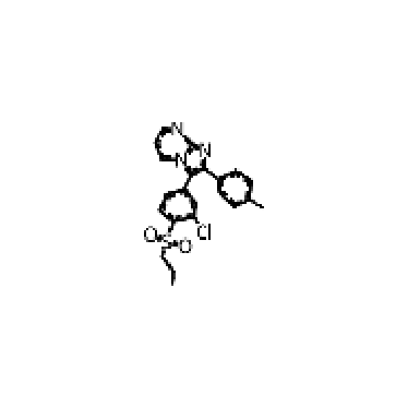 CCCS(=O)(=O)c1ccc(-c2c(-c3ccc(C)cc3)nc3ncccn23)cc1Cl